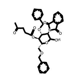 CC(=O)CCC(=O)O[C@H]1[C@H](OCc2ccccc2)[C@@H](N2C(=O)c3ccccc3C2=O)C(O)O[C@@H]1COCc1ccccc1